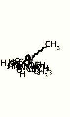 CCCCCCCCN1CCc2c(C)c(NS(=O)(=O)NC(C)=O)c(C)c(NC(=O)C(C)(C)C)c21